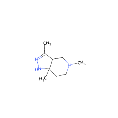 CC1=NNC2(C)CCN(C)CC12